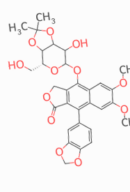 COc1cc2c(OC3O[C@H](CO)C4OC(C)(C)OC4C3O)c3c(c(-c4ccc5c(c4)OCO5)c2cc1OC)C(=O)OC3